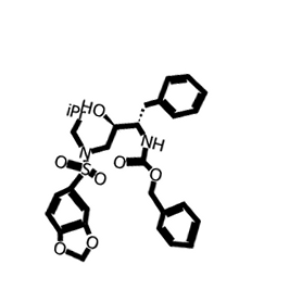 CC(C)CN(C[C@@H](O)[C@H](Cc1ccccc1)NC(=O)OCc1ccccc1)S(=O)(=O)c1ccc2c(c1)OCO2